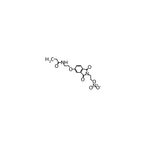 CCC(=O)NCCOc1ccc2c(c1)C(=O)N(CCO[N+](=O)[O-])C2=O